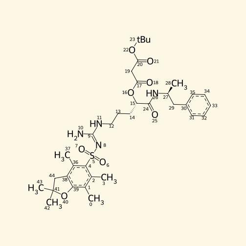 Cc1c(C)c(S(=O)(=O)/N=C(\N)NCCC[C@H](OC(=O)CC(=O)OC(C)(C)C)C(=O)N[C@@H](C)Cc2ccccc2)c(C)c2c1OC(C)(C)C2